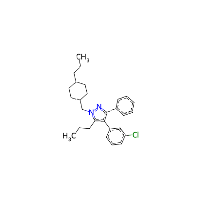 CCCc1c(-c2cccc(Cl)c2)c(-c2ccccc2)nn1CC1CCC(CCC)CC1